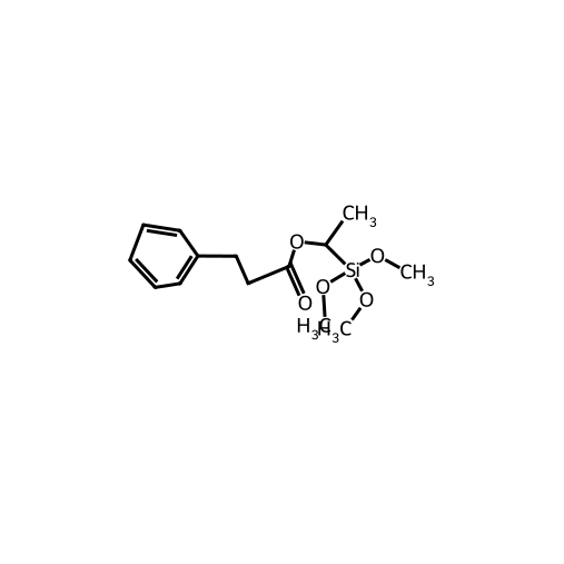 CO[Si](OC)(OC)C(C)OC(=O)CCc1ccccc1